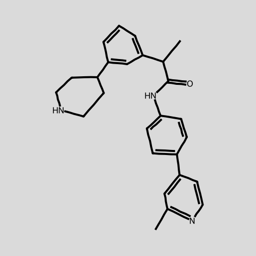 Cc1cc(-c2ccc(NC(=O)C(C)c3cccc(C4CCNCC4)c3)cc2)ccn1